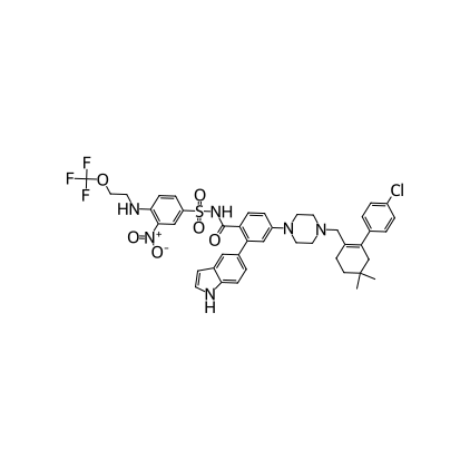 CC1(C)CCC(CN2CCN(c3ccc(C(=O)NS(=O)(=O)c4ccc(NCCOC(F)(F)F)c([N+](=O)[O-])c4)c(-c4ccc5[nH]ccc5c4)c3)CC2)=C(c2ccc(Cl)cc2)C1